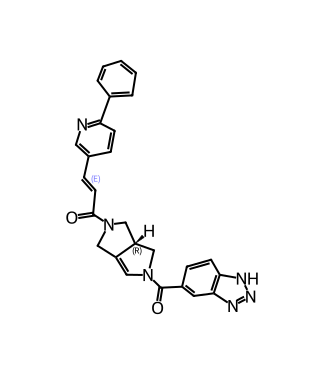 O=C(c1ccc2[nH]nnc2c1)N1C=C2CN(C(=O)/C=C/c3ccc(-c4ccccc4)nc3)C[C@@H]2C1